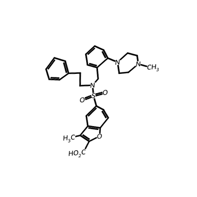 Cc1c(C(=O)O)oc2ccc(S(=O)(=O)N(CCc3ccccc3)Cc3ccccc3N3CCN(C)CC3)cc12